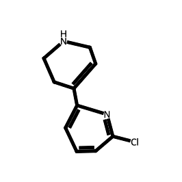 Clc1cccc(C2=CCNCC2)n1